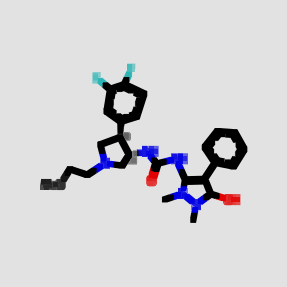 COCCN1C[C@@H](NC(=O)NC2=C(c3ccccc3)C(O)N(C)N2C)[C@H](c2ccc(F)c(F)c2)C1